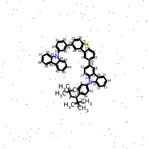 CC(C)(C)CC(c1ccc(-n2c3ccccc3c3cc(-c4ccc5sc6ccc(-c7cccc(-n8c9ccccc9c9ccccc98)c7)cc6c5c4)ccc32)cc1)C(C)(C)C